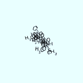 COC(=O)[C@H](CCSC)N[Se]C(=O)CNC(=O)[C@@H](NC(=O)[C@H](Cc1ccccc1)NC(=O)OC(C)(C)C)C(C)C